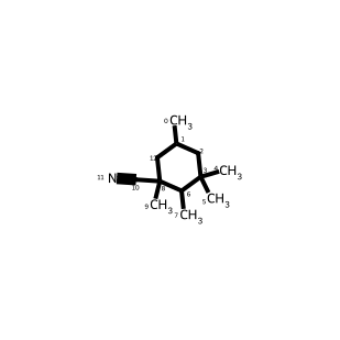 CC1CC(C)(C)C(C)C(C)(C#N)C1